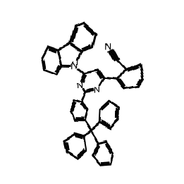 N#Cc1ccccc1-c1cc(-n2c3ccccc3c3ccccc32)nc(-c2cccc(C(c3ccccc3)(c3ccccc3)c3ccccc3)c2)n1